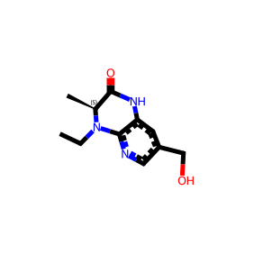 CCN1c2ncc(CO)cc2NC(=O)[C@@H]1C